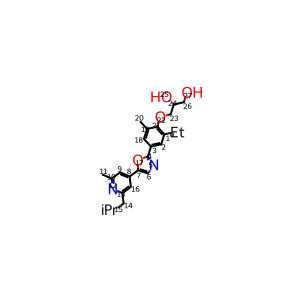 CCc1cc(-c2ncc(-c3cc(C)nc(CC(C)C)c3)o2)cc(C)c1OCC(O)CO